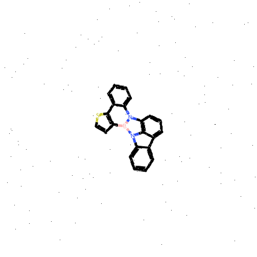 c1ccc2c(c1)-c1sccc1B1N2c2cccc3c4ccccc4n1c23